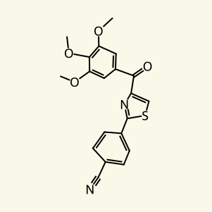 COc1cc(C(=O)c2csc(-c3ccc(C#N)cc3)n2)cc(OC)c1OC